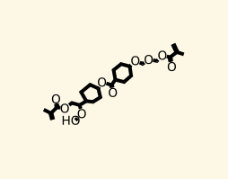 C=C(C)C(=O)OCOCOC1CCC(C(=O)OC2CCC(C(COC(=O)C(=C)C)OO)CC2)CC1